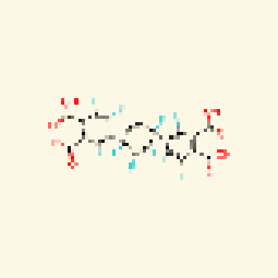 O=C(O)c1c(F)c(F)c(C2(F)C=CC(F)(c3c(F)c(F)c(C(=O)O)c(C(=O)O)c3F)C(F)=C2F)c(F)c1C(=O)O